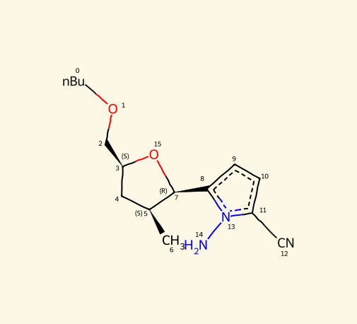 CCCCOC[C@@H]1C[C@H](C)[C@H](c2ccc(C#N)n2N)O1